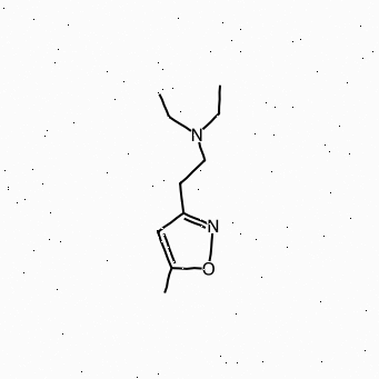 CCN(CC)CCc1cc(C)on1